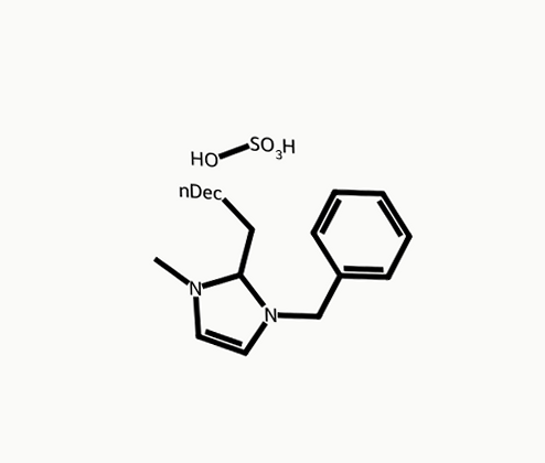 CCCCCCCCCCCC1N(C)C=CN1Cc1ccccc1.O=S(=O)(O)O